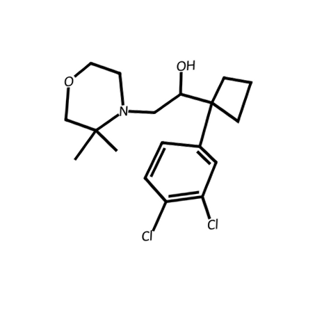 CC1(C)COCCN1CC(O)C1(c2ccc(Cl)c(Cl)c2)CCC1